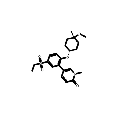 CCS(=O)(=O)c1ccc(O[C@H]2CC[C@@](C)(OC)CC2)c(-c2ccc(=O)n(C)c2)c1